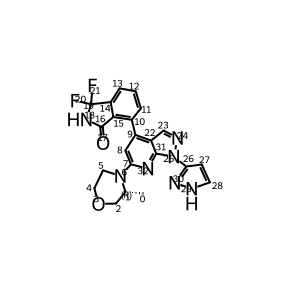 C[C@@H]1COCCN1c1cc(-c2cccc3c2C(=O)NC3(F)F)c2cnn(-c3cc[nH]n3)c2n1